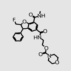 CNC(=O)c1cc(C(=O)NCCOC(=O)N2CCOCC2)cc2c1OC(CF)C2c1ccccc1